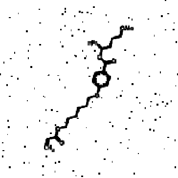 C=CC(=O)OCCCCCCOc1ccc(C(=O)OC(CCC)CCCOC)cc1